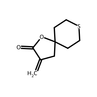 C=C1CC2(CCSCC2)OC1=O